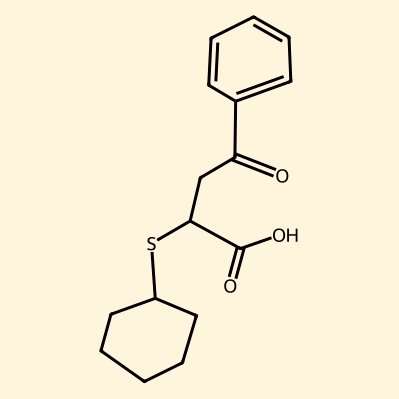 O=C(CC(SC1CCCCC1)C(=O)O)c1ccccc1